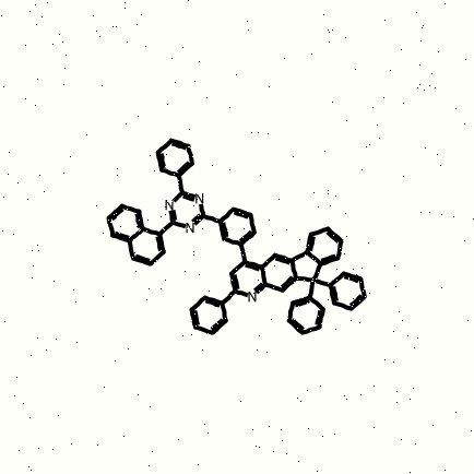 c1ccc(-c2cc(-c3cccc(-c4nc(-c5ccccc5)nc(-c5cccc6ccccc56)n4)c3)c3cc4c(cc3n2)C(c2ccccc2)(c2ccccc2)c2ccccc2-4)cc1